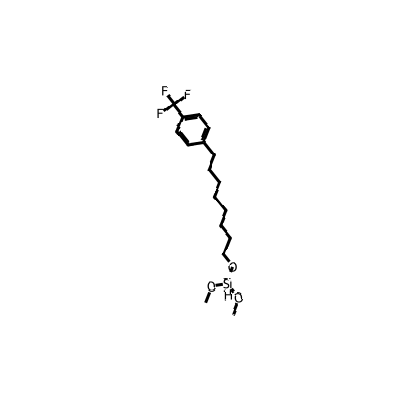 CO[SiH](OC)OCCCCCCCCc1ccc(C(F)(F)F)cc1